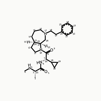 CN[C@@H](C)C(=O)N[C@H](C(=O)N1CC[C@H]2CCCN(CCc3ccccc3)C[C@H]21)C1CC1